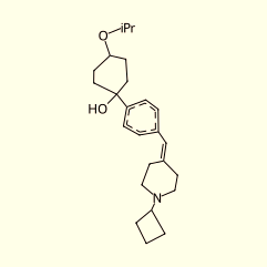 CC(C)OC1CCC(O)(c2ccc(C=C3CCN(C4CCC4)CC3)cc2)CC1